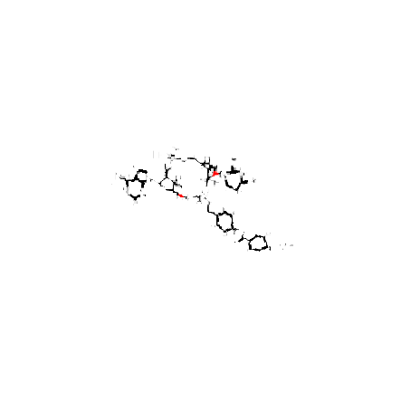 COc1ccc(C(=O)Oc2ccc(CSP3(=O)OC[C@H]4O[C@@H](n5cnc6c(N)ncnc65)[C@H](OP(=O)(O)OC[C@H]5O[C@@H](n6ccc(=O)[nH]c6=O)[C@H](O3)[C@@H]5F)[C@@H]4F)cc2)cc1